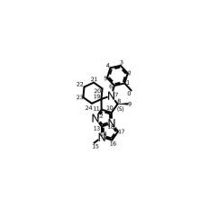 Cc1ccccc1N1[C@@H](C)c2c(nc3n(C)ccn23)C12CCCCC2